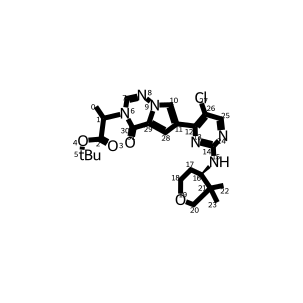 CC(C(=O)OC(C)(C)C)n1cnn2cc(-c3nc(N[C@@H]4CCOCC4(C)C)ncc3Cl)cc2c1=O